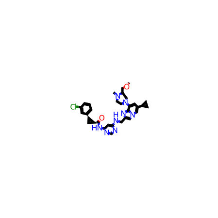 COCC1CN(c2cc(C3CC3)cn3cc(CNc4cc(NC(=O)[C@H]5C[C@@H]5c5cccc(Cl)c5)ncn4)nc23)CCN1C